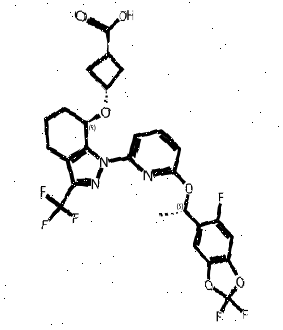 C[C@H](Oc1cccc(-n2nc(C(F)(F)F)c3c2[C@H](O[C@H]2C[C@H](C(=O)O)C2)CCC3)n1)c1cc2c(cc1F)OC(F)(F)O2